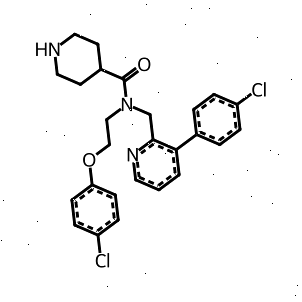 O=C(C1CCNCC1)N(CCOc1ccc(Cl)cc1)Cc1ncccc1-c1ccc(Cl)cc1